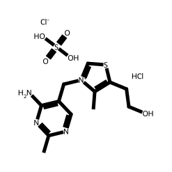 Cc1ncc(C[n+]2csc(CCO)c2C)c(N)n1.Cl.O=S(=O)(O)O.[Cl-]